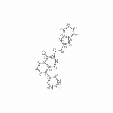 O=c1c2cccc(-c3cncnc3)c2cnn1CCc1cn2ccccc2n1